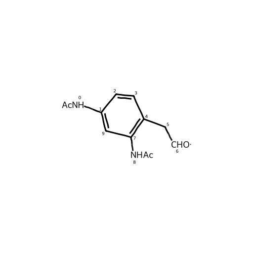 CC(=O)Nc1ccc(C[C]=O)c(NC(C)=O)c1